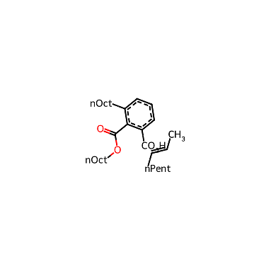 CC=CCCCCC.CCCCCCCCOC(=O)c1c(CCCCCCCC)cccc1C(=O)O